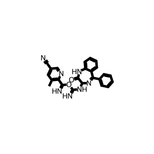 Cc1cc(C#N)cnc1C(=N)OC(=N)NC1N=C(c2ccccc2)c2ccccc2NC1=O